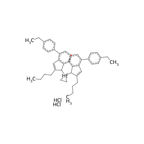 CCCCC1=Cc2c(-c3ccc(CC)cc3)cccc2[CH]1[Hf]1([CH]2C(CCCC)=Cc3c(-c4ccc(CC)cc4)cccc32)[CH2][CH2]1.Cl.Cl